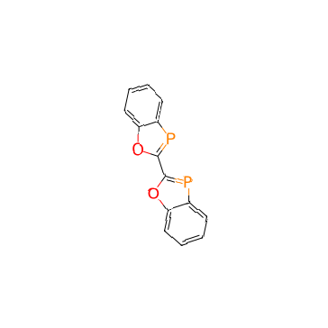 c1ccc2pc(-c3oc4ccccc4p3)oc2c1